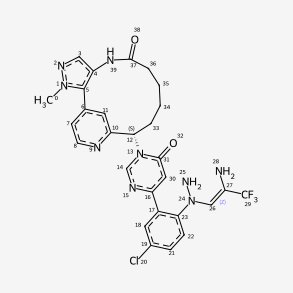 Cn1ncc2c1-c1ccnc(c1)[C@@H](n1cnc(-c3cc(Cl)ccc3N(N)/C=C(\N)C(F)(F)F)cc1=O)CCCCC(=O)N2